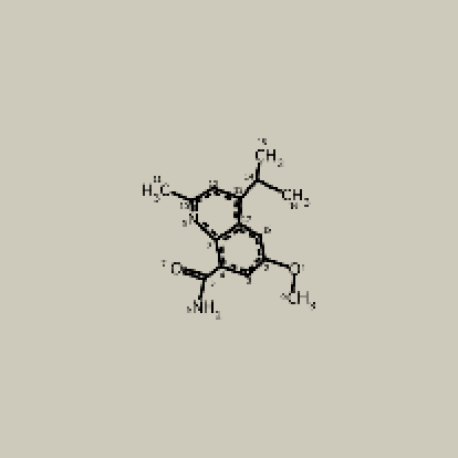 COc1cc(C(N)=O)c2nc(C)cc(C(C)C)c2c1